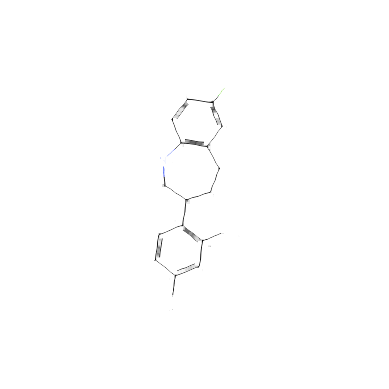 Fc1ccc2c(c1)CCC(c1ccc(C(F)(F)F)cc1C(F)(F)F)CN2